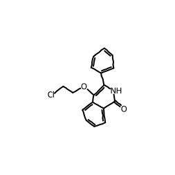 O=c1[nH]c(-c2ccccc2)c(OCCCl)c2ccccc12